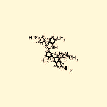 Cc1ccc(C(=O)Nc2cc(C(F)(F)F)ccc2OC2CCN(C)CC2)cc1-c1cc2cnc(N)nc2c(-c2cnn(C)c2)c1O